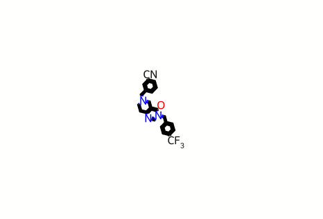 N#Cc1cccc(CN2CCc3ncn(Cc4ccc(C(F)(F)F)cc4)c(=O)c3C2)c1